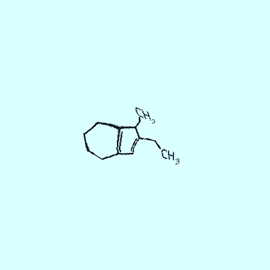 CCC1=CC2=C(CCCC2)C1C